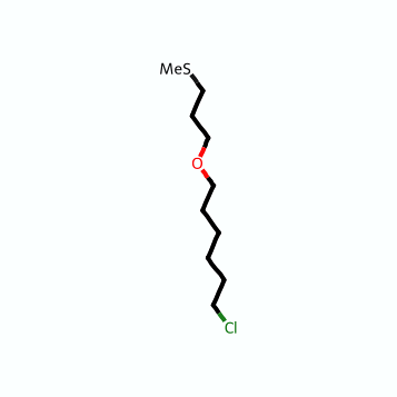 CSCCCOCCCCCCCl